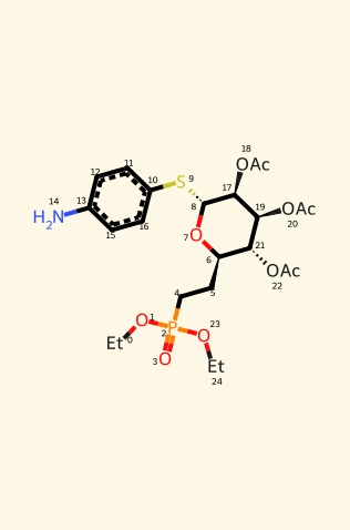 CCOP(=O)(CC[C@H]1O[C@H](Sc2ccc(N)cc2)[C@@H](OC(C)=O)[C@@H](OC(C)=O)[C@@H]1OC(C)=O)OCC